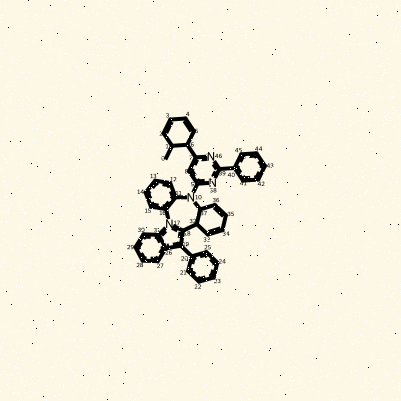 CC1C=CC=CC1c1cc(N2c3ccccc3-n3c(c(-c4ccccc4)c4ccccc43)C3C=CC=CC32)nc(-c2ccccc2)n1